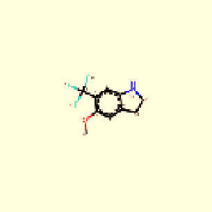 COc1cc2c(cc1C(F)(F)F)NCC2